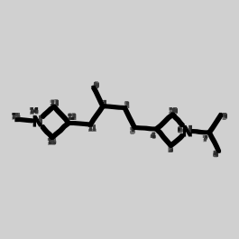 CC(CCC1CN(C(C)C)C1)CC1CN(C)C1